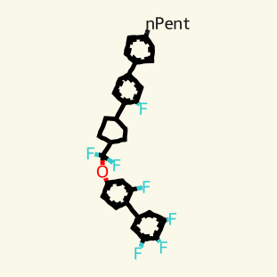 CCCCCc1ccc(-c2ccc(C3CCC(C(F)(F)Oc4ccc(-c5cc(F)c(F)c(F)c5)c(F)c4)CC3)c(F)c2)cc1